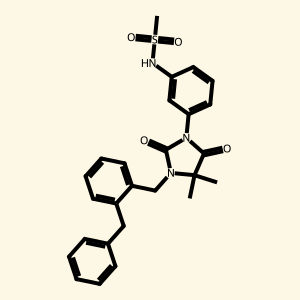 CC1(C)C(=O)N(c2cccc(NS(C)(=O)=O)c2)C(=O)N1Cc1ccccc1Cc1ccccc1